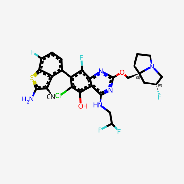 N#Cc1c(N)sc2c(F)ccc(-c3c(Cl)c(O)c4c(NCC(F)F)nc(OC[C@@]56CCCN5C[C@H](F)C6)nc4c3F)c12